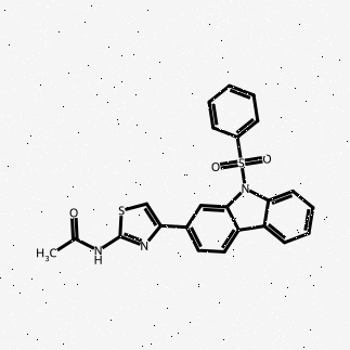 CC(=O)Nc1nc(-c2ccc3c4ccccc4n(S(=O)(=O)c4ccccc4)c3c2)cs1